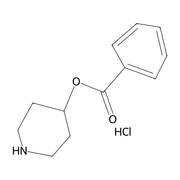 Cl.O=C(OC1CCNCC1)c1ccccc1